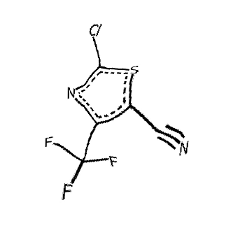 N#Cc1sc(Cl)nc1C(F)(F)F